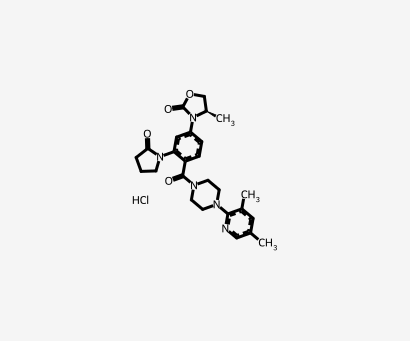 Cc1cnc(N2CCN(C(=O)c3ccc(N4C(=O)OC[C@H]4C)cc3N3CCCC3=O)CC2)c(C)c1.Cl